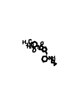 C=C1CCC(N2Cc3cc(C[C@H]4CCCC[C@@H]4NC4CC5(CC5)C4)ccc3C2=O)C(=O)N1